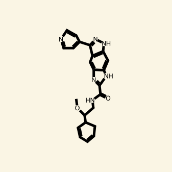 COC(CNC(=O)c1nc2cc3c(-c4ccncc4)n[nH]c3cc2[nH]1)C1C=CC=CC1